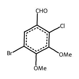 COc1c(Br)cc(C=O)c(Cl)c1OC